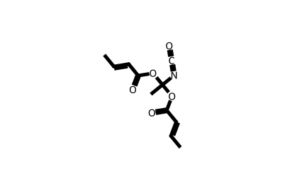 CC=CC(=O)OC(C)(N=C=O)OC(=O)C=CC